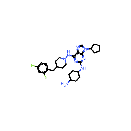 NC1CCC(Nc2nc(NN3CCC(Cc4ccc(F)cc4F)CC3)c3ncn(C4CCCC4)c3n2)CC1